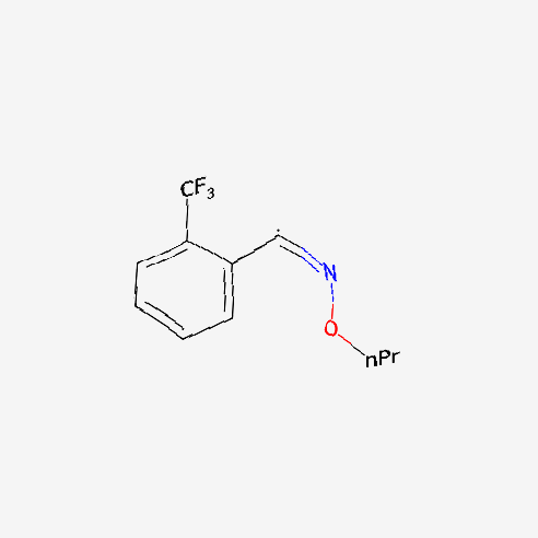 CCCO/N=[C]\c1ccccc1C(F)(F)F